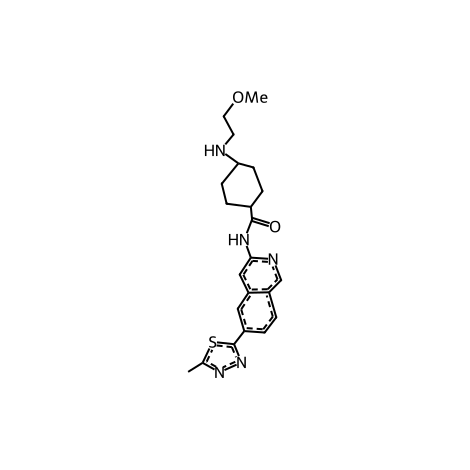 COCCNC1CCC(C(=O)Nc2cc3cc(-c4nnc(C)s4)ccc3cn2)CC1